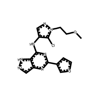 COCCn1ncc(Nc2nc(-c3ccoc3)nc3cn[nH]c23)c1Cl